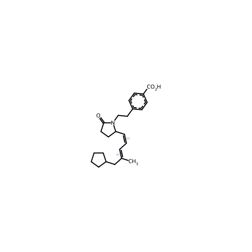 C/C(=C\C=C/C1CCC(=O)N1CCc1ccc(C(=O)O)cc1)CC1CCCC1